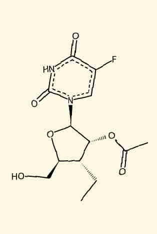 CC[C@H]1[C@@H](OC(C)=O)[C@H](n2cc(F)c(=O)[nH]c2=O)O[C@@H]1CO